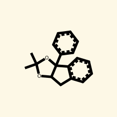 CC1(C)OC2Cc3ccccc3C2(c2ccccc2)O1